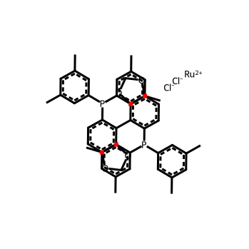 Cc1cc(C)cc(P(c2cc(C)cc(C)c2)c2ccc3c(c2-c2c(P(c4cc(C)cc(C)c4)c4cc(C)cc(C)c4)ccc4c2OCO4)OCO3)c1.[Cl-].[Cl-].[Ru+2]